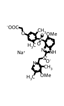 COc1ccc2[nH]c([S+]([O-])Cc3ncc(C)c(OC)c3C)nc2c1S(=O)(=O)c1c(C)cc(OCC(=O)[O-])cc1C.[Na+]